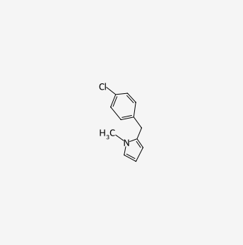 Cn1cccc1Cc1ccc(Cl)cc1